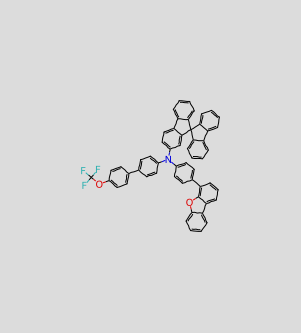 FC(F)(F)Oc1ccc(-c2ccc(N(c3ccc(-c4cccc5c4oc4ccccc45)cc3)c3ccc4c(c3)C3(c5ccccc5-c5ccccc53)c3ccccc3-4)cc2)cc1